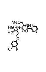 COCC(NC(=O)c1cnccn1)C(=O)NC(CCOc1ccc(Cl)c(F)c1)B(O)O